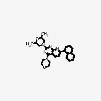 CC1CN(c2nc(N3CCOCC3)c3ccc(-c4cccc5ccccc45)nc3n2)CC(C)O1